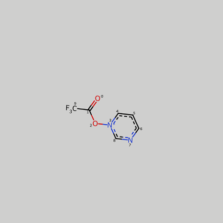 O=C(O[n+]1cccnc1)C(F)(F)F